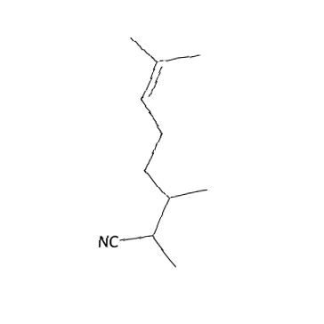 CC(C)=CCCC(C)C(C)C#N